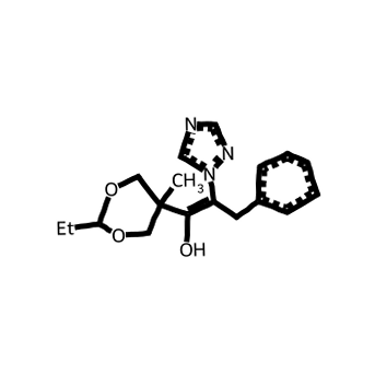 CCC1OCC(C)(/C(O)=C(/Cc2ccccc2)n2cncn2)CO1